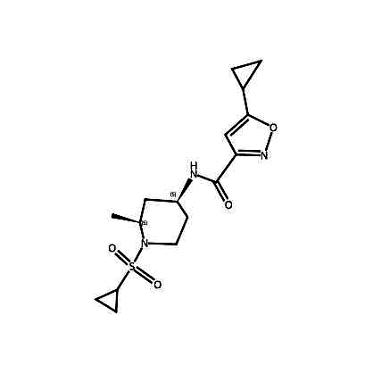 C[C@H]1C[C@@H](NC(=O)c2cc(C3CC3)on2)CCN1S(=O)(=O)C1CC1